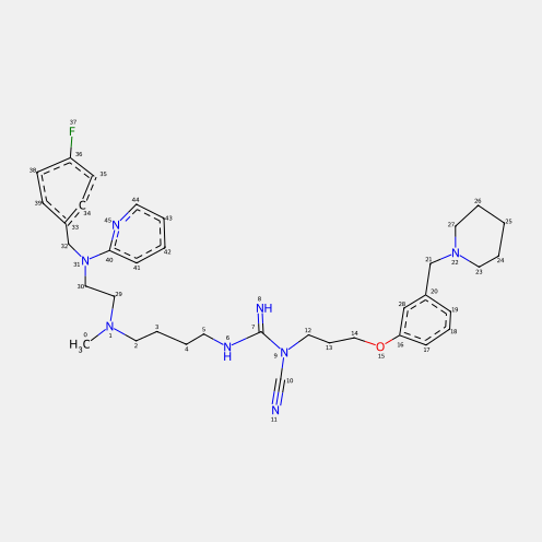 CN(CCCCNC(=N)N(C#N)CCCOc1cccc(CN2CCCCC2)c1)CCN(Cc1ccc(F)cc1)c1ccccn1